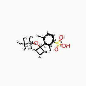 Cc1ccc(S(=O)(=O)O)c(C)c1C1(O[Si](C)(C)C(C)(C)C)CCC1